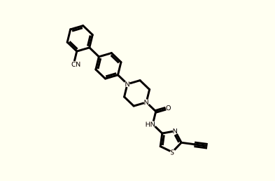 C#Cc1nc(NC(=O)N2CCN(c3ccc(-c4ccccc4C#N)cc3)CC2)cs1